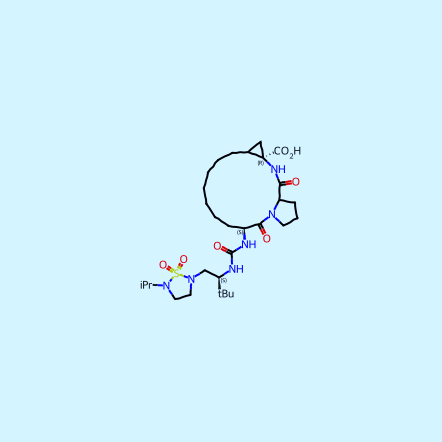 CC(C)N1CCN(C[C@@H](NC(=O)N[C@H]2CCCCCCCC3C[C@@]3(C(=O)O)NC(=O)C3CCCN3C2=O)C(C)(C)C)S1(=O)=O